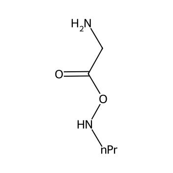 CCCNOC(=O)CN